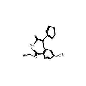 Cc1ccc(C(=O)NC(C)(C)C)c(C(C(=O)C(C)(C)C)c2ccccc2)c1